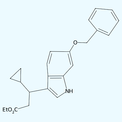 CCOC(=O)CC(c1c[nH]c2cc(OCc3ccccc3)ccc12)C1CC1